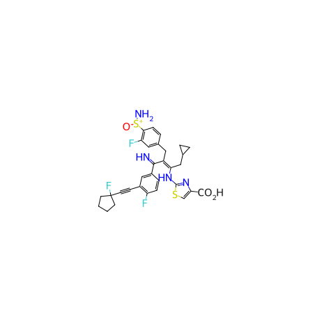 N=C(/C(Cc1ccc([S+](N)[O-])c(F)c1)=C(/CC1CC1)Nc1nc(C(=O)O)cs1)c1ccc(F)c(C#CC2(F)CCCC2)c1